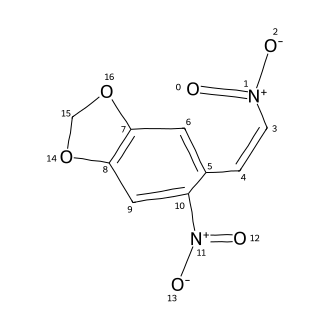 O=[N+]([O-])/C=C\c1cc2c(cc1[N+](=O)[O-])OCO2